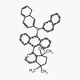 CC1(C)CCC(C)(C)c2c(-c3c4ccccc4c(N(C4=CC5CC=CC=C5C=C4)c4ccc5ccccc5c4)c4ccccc34)cccc21